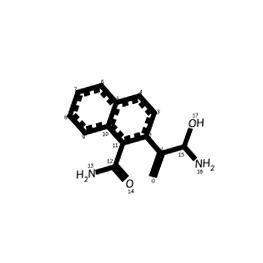 C=C(c1ccc2ccccc2c1C(N)=O)C(N)O